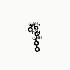 CN1CCCC(C(=O)N(C)[C@@H]2CCN(c3ccc(NC(=O)c4ccc(C5CCCCC5)cc4)cn3)C2)C1